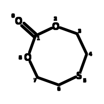 O=C1OCCSCCO1